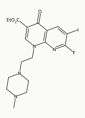 CCOC(=O)c1cn(CCN2CCN(C)CC2)c2nc(F)c(I)cc2c1=O